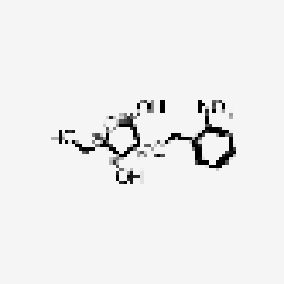 O=[N+]([O-])c1ccccc1CO[C@@H]1[C@H](O)[C@@H](CO)O[C@@H]1O